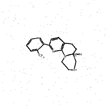 FC(F)(F)c1ccccc1-c1ccc2c(n1)N1CCNC[C@H]1CC2